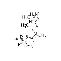 CC(CCC(CN)N(C)C)c1cccc(C(F)(F)F)c1